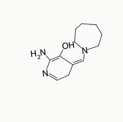 NC1=C(O)C(=CN2CCCCCC2)CC=N1